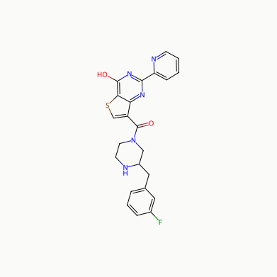 O=C(c1csc2c(O)nc(-c3ccccn3)nc12)N1CCNC(Cc2cccc(F)c2)C1